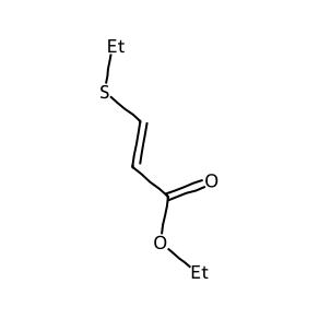 CCOC(=O)C=CSCC